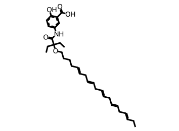 CCC=CCC=CCC=CCC=CCC=CCCCCOC(CC)(CC)C(=O)Nc1ccc(O)c(C(=O)O)c1